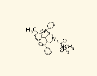 Cc1cccc(C2C(C(=O)c3ccccc3)CN(CCC(=O)N(C)C)CC2C(=O)c2ccccc2)c1C